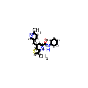 Cc1ccc(Cc2cc(C(=O)NC3CCCCC3)nc3c(C)csc23)cn1